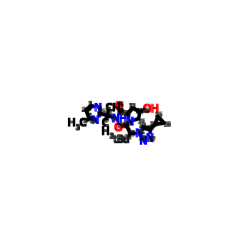 Cc1ccnc(C(C)(C)NC(=O)[C@@H]2C[C@@H](O)CN2C(=O)[C@@H](n2cc(C3CC3)nn2)C(C)(C)C)n1